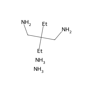 CCC(CC)(CN)CN.N.N